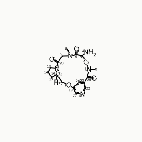 CN1C[C@H](N)C(=O)N(C)CC(=O)N2CCC[C@H]2COc2cncc(c2)C1=O